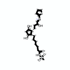 CS(=O)(=O)NC(=O)CCCCCC[C@@H]1[C@@H](CCC(O)/C=N/c2cccs2)[C@H](O)C[C@@H]1O